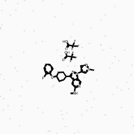 CNc1cc2c(C3CCC(Oc4ccccc4F)CC3)nn(-c3cnn(C)c3)c2cn1.O=C(O)C(F)(F)F.O=C(O)C(F)(F)F